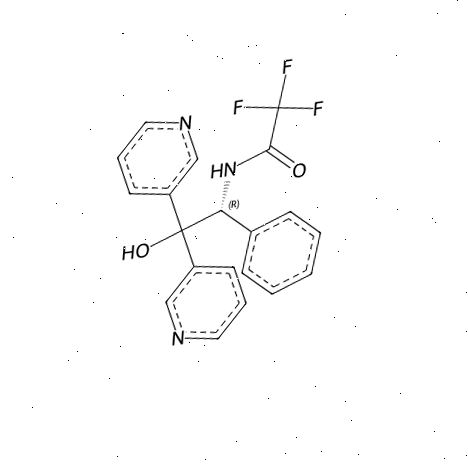 O=C(N[C@H](c1ccccc1)C(O)(c1cccnc1)c1cccnc1)C(F)(F)F